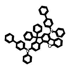 c1ccc(-c2ccc(N(c3ccccc3)c3ccc4c(c3)C(c3ccccc3)(c3ccccc3)c3cc(N(c5ccccc5)c5ccc(-c6ccccc6)cc5)c5c(oc6ccccc65)c3-4)cc2)cc1